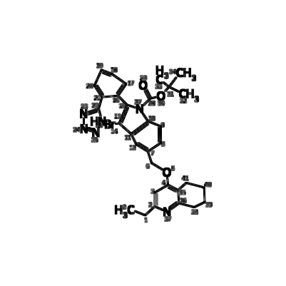 CCc1cc(OCc2ccc3c(c2)c(Br)c(-c2ccccc2-c2nnn[nH]2)n3C(=O)OC(C)(C)C)c2c(n1)CCCC2